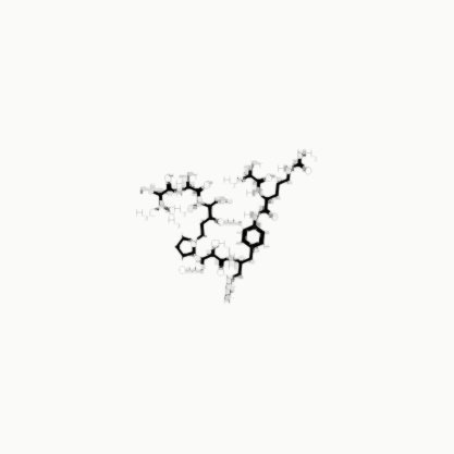 CCC(C)C(C(CCN1CCC[C@H]1C(OC)C(C)C(=O)NC(CN=[N+]=[N-])Cc1ccc(NC(=O)C(CCCNC(N)=O)NC(=O)C(N)C(C)C)cc1)OC)N(C)C(=O)C(NC(=O)C(C(C)C)N(C)C)C(C)C